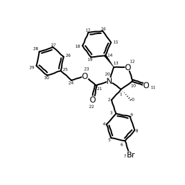 C[C@@]1(Cc2ccc(Br)cc2)C(=O)O[C@H](c2ccccc2)N1C(=O)OCc1ccccc1